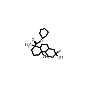 CC(C)C1(O)CCC2C(CCC3C(C)(C(=O)OC4CCCCC4)CCCC23C)C1